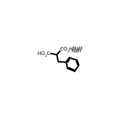 O=C(O)C(Cc1ccccc1)C(=O)O.[NaH].[NaH]